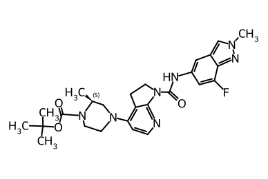 C[C@H]1CN(c2ccnc3c2CCN3C(=O)Nc2cc(F)c3nn(C)cc3c2)CCN1C(=O)OC(C)(C)C